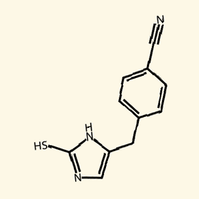 N#Cc1ccc(Cc2cnc(S)[nH]2)cc1